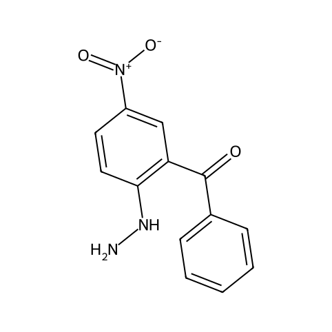 NNc1ccc([N+](=O)[O-])cc1C(=O)c1ccccc1